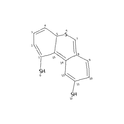 SC1=CC=CC2SC=c3ccc(S)cc3=C12